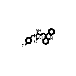 O=C1NC(=Cc2c3ccccc3nc3ccccc23)C(S)N1Cc1ccc(Cl)cc1